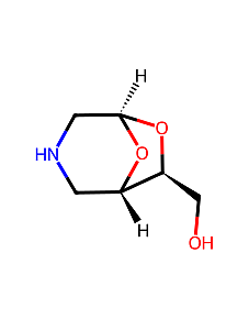 OC[C@@H]1O[C@@H]2CNC[C@@H]1O2